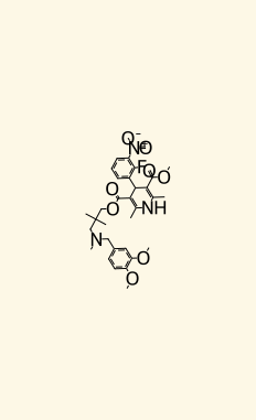 COC(=O)C1=C(C)NC(C)=C(C(=O)OCC(C)(C)CN(C)Cc2ccc(OC)c(OC)c2)C1c1cccc([N+](=O)[O-])c1F